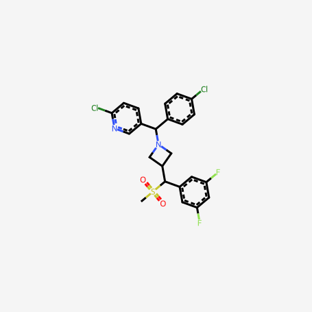 CS(=O)(=O)C(c1cc(F)cc(F)c1)C1CN(C(c2ccc(Cl)cc2)c2ccc(Cl)nc2)C1